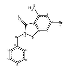 Cc1cc(Br)cc2c1C(=O)N(Cc1ccccc1)C2